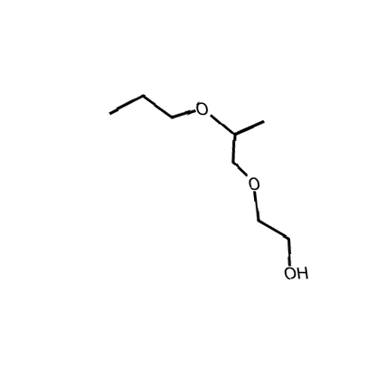 CCCOC(C)COCCO